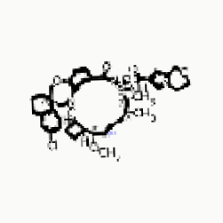 CO[C@H]1/C=C/C[C@H](C)[C@@H](C)S(=O)(NC(=O)c2cc3n(c2)CCOC3)=NC(=O)c2ccc3c(c2)N(C[C@@H]2CC[C@H]21)C[C@@]1(CCCc2cc(Cl)ccc21)CO3